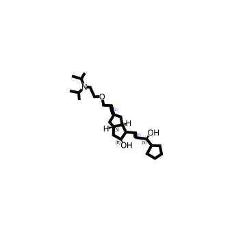 CC(C)N(CCOC/C=C1\C[C@H]2C[C@@H](O)C(/C=C/[C@@H](O)C3CCCC3)[C@@H]2C1)C(C)C